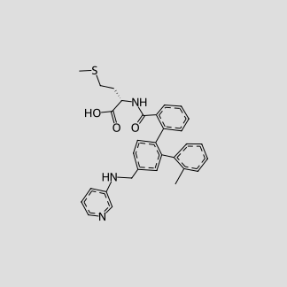 CSCC[C@H](NC(=O)c1ccccc1-c1ccc(CNc2cccnc2)cc1-c1ccccc1C)C(=O)O